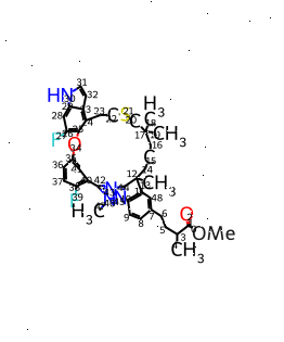 COC(=O)C(C)CCc1cccc(C2(C)CCCC(C)(C)CSCCc3c(c(F)cc4[nH]ccc34)Oc3ccc(F)c(c3)-c3nc2nn3C)c1